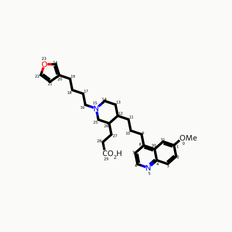 COc1ccc2nccc(CCCC3CCN(CCCCc4ccoc4)CC3CCC(=O)O)c2c1